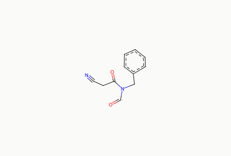 N#CCC(=O)N([C]=O)Cc1ccccc1